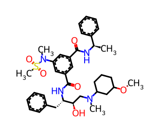 COC1CCCC(N(C)C[C@@H](O)[C@H](Cc2ccccc2)NC(=O)c2cc(C(=O)N[C@H](C)c3ccccc3)cc(N(C)S(C)(=O)=O)c2)C1